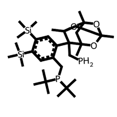 CC12CC3(C)OC(C)(CC(C)(O1)C3(CP)c1cc([Si](C)(C)C)c([Si](C)(C)C)cc1CP(C(C)(C)C)C(C)(C)C)O2